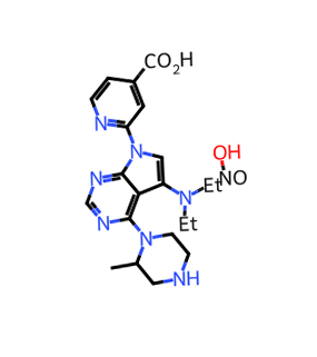 CCN(CC)c1cn(-c2cc(C(=O)O)ccn2)c2ncnc(N3CCNCC3C)c12.O=NO